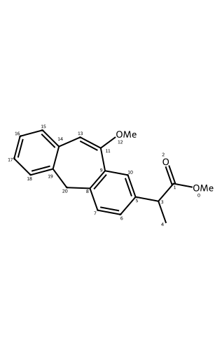 COC(=O)C(C)c1ccc2c(c1)C(OC)=Cc1ccccc1C2